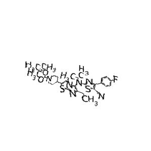 CCc1nc2sc(C3CCN(C(=O)OC(C)(C)C)CC3)cn2c1N(c1nc(-c2ccc(F)cc2)c(C#N)s1)C(C)C